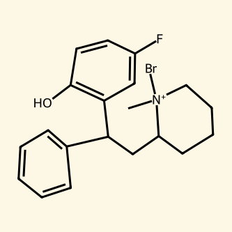 C[N+]1(Br)CCCCC1CC(c1ccccc1)c1cc(F)ccc1O